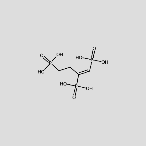 O=P(O)(O)C=C(CCP(=O)(O)O)P(=O)(O)O